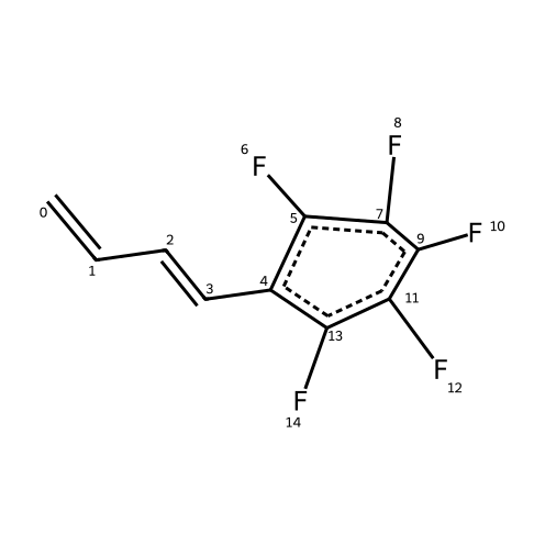 C=C/C=C/c1c(F)c(F)c(F)c(F)c1F